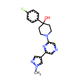 Cn1cc(-c2cncc(N3CCC(O)(c4ccc(F)cc4)CC3)n2)cn1